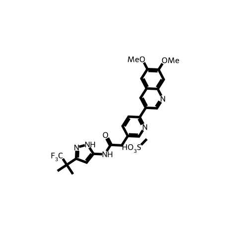 COc1cc2cc(-c3ccc(CC(=O)Nc4cc(C(C)(C)C(F)(F)F)n[nH]4)cn3)cnc2cc1OC.CS(=O)(=O)O